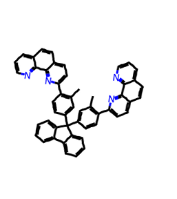 Cc1cc(C2(c3ccc(-c4ccc5ccc6cccnc6c5n4)c(C)c3)c3ccccc3-c3ccccc32)ccc1-c1ccc2ccc3cccnc3c2n1